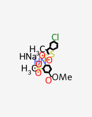 COC(=O)c1ccc(NS(=O)(=O)c2sc3ccc(Cl)cc3c2C)c(S(C)(=O)=O)c1.[NaH]